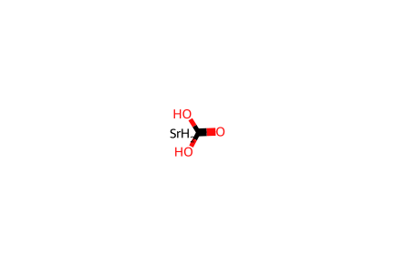 O=C(O)O.[SrH2]